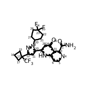 NC(=O)c1nccc2[nH]c(-c3cc(C4(C(F)(F)F)CCC4)nn3C3CCC(F)(F)CC3)cc(=O)c12